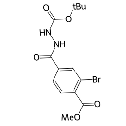 COC(=O)c1ccc(C(=O)NNC(=O)OC(C)(C)C)cc1Br